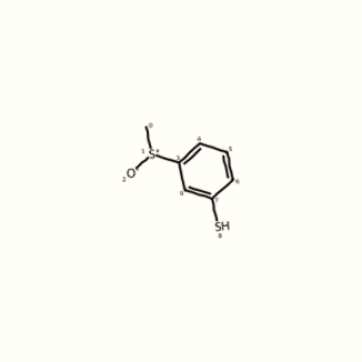 C[S+]([O-])c1cccc(S)c1